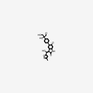 Cc1cc(/C(O)=C2\C(=O)Nc3cc(Cl)c(-c4ccc(C(O)(CO)CCl)cc4)cc32)on1